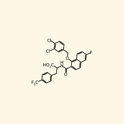 O=C(NC(Cc1ccc(C(F)(F)F)cc1)C(=O)O)c1ccc2cc(F)ccc2c1OCc1ccc(Cl)c(Cl)c1